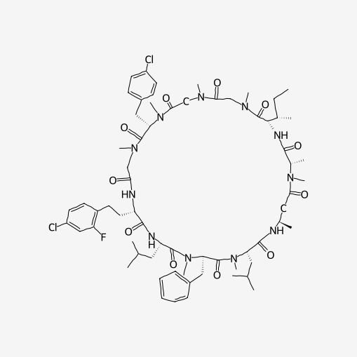 CC[C@H](C)[C@@H]1NC(=O)[C@H](C)N(C)C(=O)C[C@@H](C)NC(=O)[C@H](CC(C)C)N(C)C(=O)[C@H](Cc2ccccc2)N(C)C(=O)[C@H](CC(C)C)NC(=O)[C@H](CCc2ccc(Cl)cc2F)NC(=O)CN(C)C(=O)[C@H](Cc2ccc(Cl)cc2)N(C)C(=O)CN(C)C(=O)CN(C)C1=O